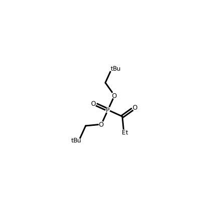 CCC(=O)P(=O)(OCC(C)(C)C)OCC(C)(C)C